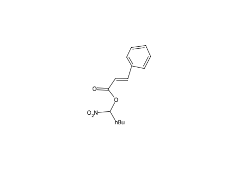 CCCCC(OC(=O)C=Cc1ccccc1)[N+](=O)[O-]